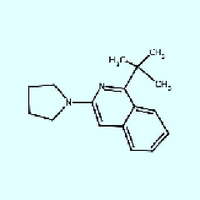 CC(C)(C)c1nc(N2CCCC2)cc2ccccc12